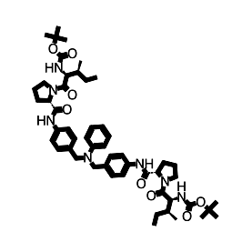 CC[C@H](C)[C@H](NC(=O)OC(C)(C)C)C(=O)N1CCC[C@H]1C(=O)Nc1ccc(CN(Cc2ccc(NC(=O)[C@@H]3CCCN3C(=O)[C@@H](NC(=O)OC(C)(C)C)[C@@H](C)CC)cc2)c2ccccc2)cc1